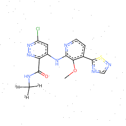 [2H]C([2H])([2H])NC(=O)c1nnc(Cl)cc1Nc1nccc(-c2ncns2)c1OC